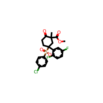 COC(=O)C1(C)CC(c2cc(F)ccc2F)(S(=O)(=O)c2ccc(Cl)cc2)CCC1=O